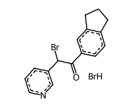 Br.O=C(c1ccc2c(c1)CCC2)C(Br)c1cccnc1